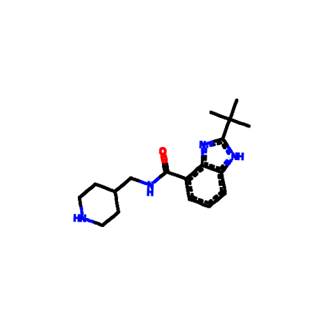 CC(C)(C)c1nc2c(C(=O)NCC3CCNCC3)cccc2[nH]1